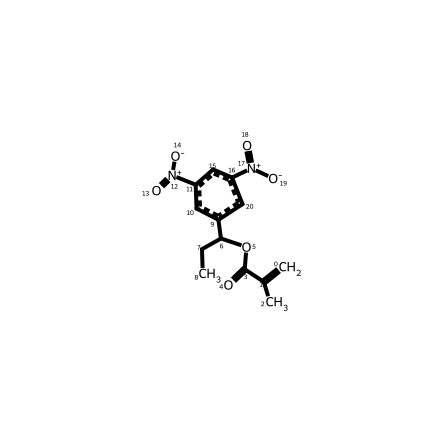 C=C(C)C(=O)OC(CC)c1cc([N+](=O)[O-])cc([N+](=O)[O-])c1